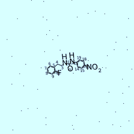 O=C(NCCc1ccccc1F)Nc1ccc([N+](=O)[O-])cc1